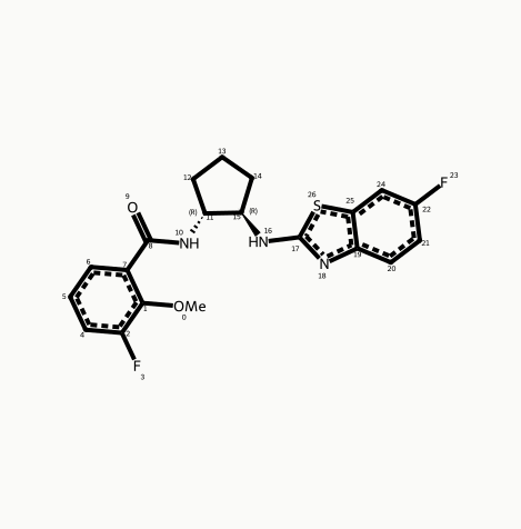 COc1c(F)cccc1C(=O)N[C@@H]1CCC[C@H]1Nc1nc2ccc(F)cc2s1